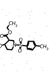 CCOC(=O)C1CN(S(=O)(=O)c2ccc(C)cc2)CCC1O